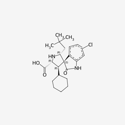 CC(C)(C)C[C@H]1N[C@@H](C(=O)O)[C@H](C2CCCCC2)[C@@]12C(=O)Nc1cc(Cl)ccc12